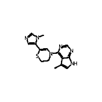 Cc1c[nH]c2ncnc(N3C=C(c4cncn4C)SCC3)c12